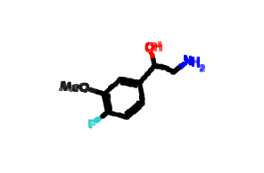 COc1cc(C(O)CN)ccc1F